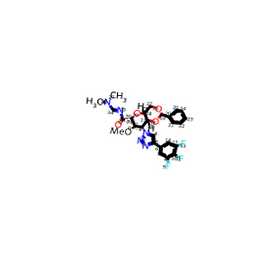 CO[C@@H]1[C@@H](n2cc(-c3cc(F)c(F)c(F)c3)nn2)[C@H]2OC(c3ccccc3)OC[C@H]2O[C@H]1C(=O)N=CN(C)C